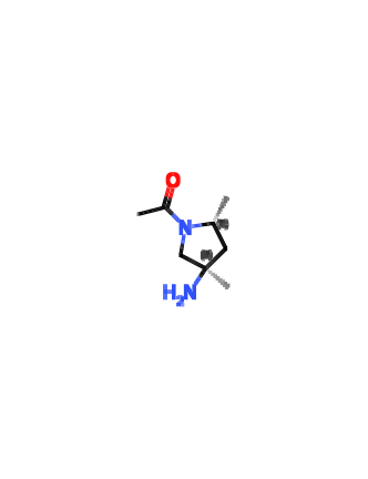 CC(=O)N1C[C@](C)(N)C[C@H]1C